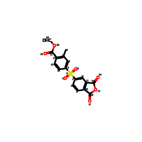 Cc1cc(S(=O)(=O)c2ccc3c(c2)C(=O)OC3=O)ccc1C(=O)OC=O